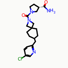 NC(=O)[C@H]1CCN(C(=O)N2CC3(CCC(Cc4ccc(Cl)cn4)CC3)C2)C1